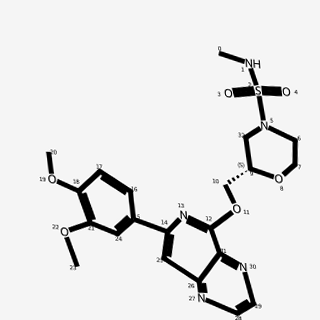 CNS(=O)(=O)N1CCO[C@H](COc2nc(-c3ccc(OC)c(OC)c3)cc3nccnc23)C1